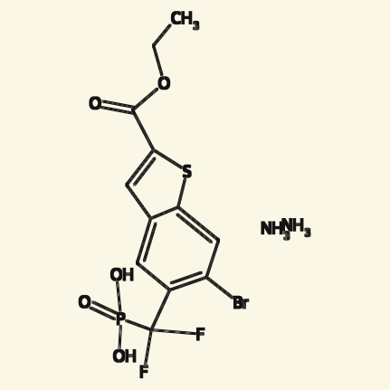 CCOC(=O)c1cc2cc(C(F)(F)P(=O)(O)O)c(Br)cc2s1.N.N